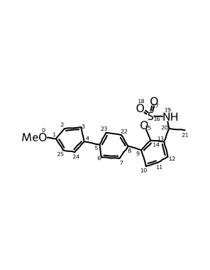 COc1ccc(-c2ccc(-c3cccc4c3OS(=O)(=O)NC4C)cc2)cc1